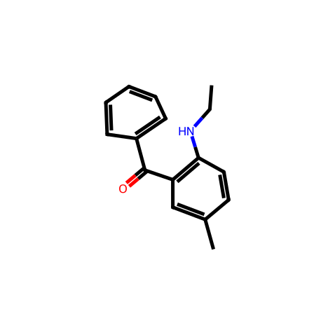 CCNc1ccc(C)cc1C(=O)c1ccccc1